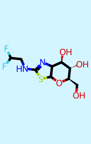 OC[C@H]1OC2SC(NCC(F)F)=NC2[C@@H](O)[C@@H]1O